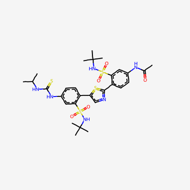 CC(=O)Nc1ccc(-c2ncc(-c3ccc(NC(=S)NC(C)C)cc3S(=O)(=O)NC(C)(C)C)s2)c(S(=O)(=O)NC(C)(C)C)c1